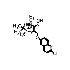 CNC(N=N)C(COc1ccc2nc(Cl)ccc2c1)O[Si](C)(C)C(C)(C)C